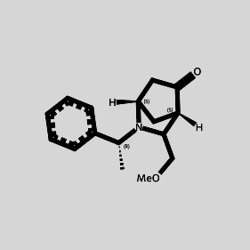 COCC1[C@@H]2C[C@@H](CC2=O)N1[C@H](C)c1ccccc1